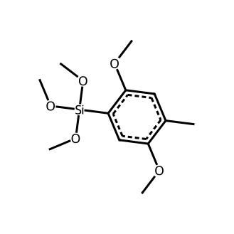 COc1cc([Si](OC)(OC)OC)c(OC)cc1C